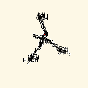 N[C@H]1[C@H]2OC[C@](COCCOCCOCCOCCn3cc(COCC(COCc4cn(CCOCCOCCOCCOC[C@@]56CO[C@@H](O5)[C@H](N)[C@@H](O)[C@H]6O)nn4)(COCc4cn(CCOCCOCCOCCOC[C@@]56CO[C@@H](O5)[C@H](N)[C@@H](O)[C@H]6O)nn4)NC(=O)CCCOCc4ccccc4)nn3)(O2)[C@H](O)[C@@H]1O